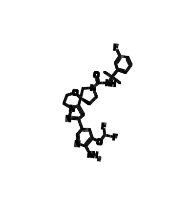 CC(C)(NC(=O)N1CC[C@]2(C1)OCCn1nc(-c3cnc(N)c(OC(F)F)c3)cc12)c1cccc(F)c1